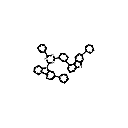 c1ccc(-c2ccc3c(c2)oc2cccc(-c4cccc(-c5nc(-c6ccccc6)nc(-n6c7ccccc7c7ccc(-c8ccccc8)cc76)n5)c4)c23)cc1